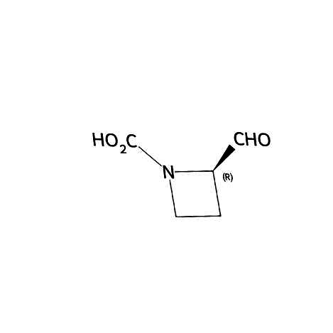 O=C[C@H]1CCN1C(=O)O